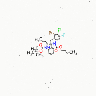 C=CC[C@H](NC(=O)OC(C)(C)C)[C@@]1(c2ccccc2)Cc2c(cc(F)c(Cl)c2Br)N1C(=O)OCCCC